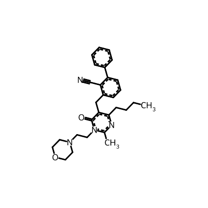 CCCCc1nc(C)n(CCN2CCOCC2)c(=O)c1Cc1cccc(-c2ccccc2)c1C#N